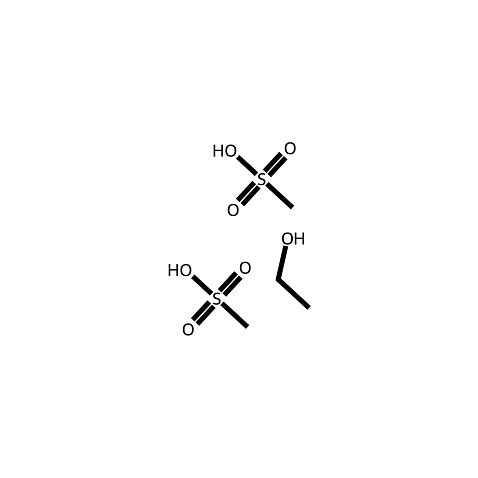 CCO.CS(=O)(=O)O.CS(=O)(=O)O